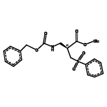 CC(C)(C)OC(=O)[C@H](CNC(=O)OCc1ccccc1)CS(=O)(=O)c1ccccc1